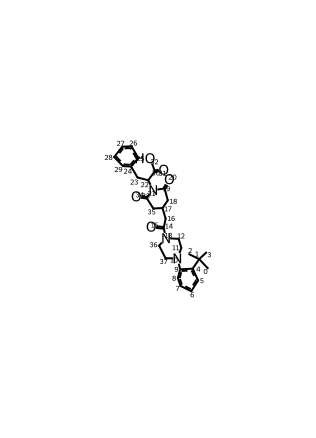 CC(C)(C)c1ccccc1N1CCN(C(=O)CC2CC(=O)N(C(Cc3ccccc3)C(=O)O)C(=O)C2)CC1